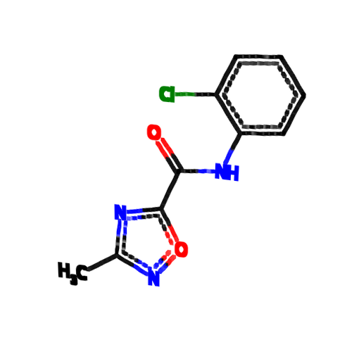 Cc1noc(C(=O)Nc2ccccc2Cl)n1